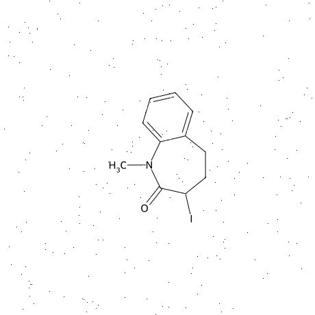 CN1C(=O)C(I)CCc2ccccc21